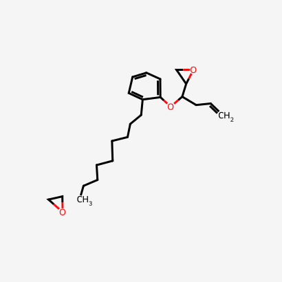 C1CO1.C=CCC(Oc1ccccc1CCCCCCCCC)C1CO1